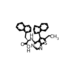 CCc1sc2ncnc(N[C@H](Cc3cccc4ccccc34)C(=O)O)c2c1-c1cccc2ccccc12